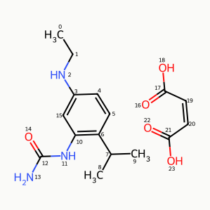 CCNc1ccc(C(C)C)c(NC(N)=O)c1.O=C(O)/C=C\C(=O)O